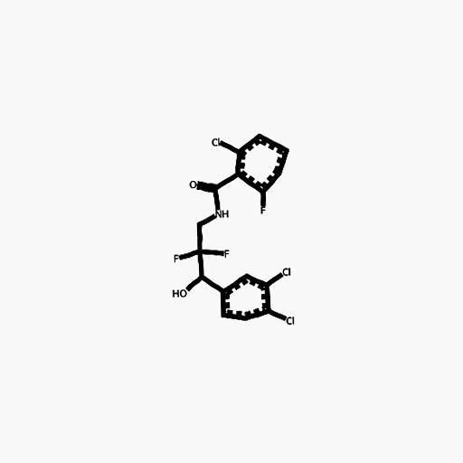 O=C(NCC(F)(F)C(O)c1ccc(Cl)c(Cl)c1)c1c(F)cccc1Cl